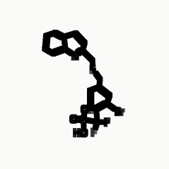 O=P(O)(O)C(F)(F)c1ccc(CSCc2ccc3ccccc3n2)cc1Br